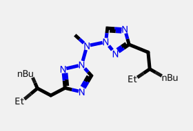 CCCCC(CC)Cc1ncn(N(C)n2cnc(CC(CC)CCCC)n2)n1